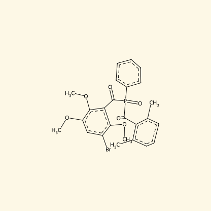 COc1cc(Br)c(OC)c(C(=O)P(=O)(C(=O)c2c(C)cccc2C)c2ccccc2)c1OC